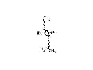 C=CCCCOc1cc(C(C)C)c(OCCCC=C(C)C)cc1C(C)CC